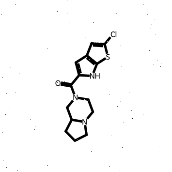 O=C(c1cc2cc(Cl)sc2[nH]1)N1CCN2CCCC2C1